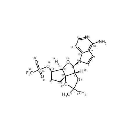 CC1(C)O[C@H]2[C@H](n3ccc4c(N)ncnc43)O[C@@H]3[C@H](OS(=O)(=O)C(F)(F)F)CC[C@@]32O1